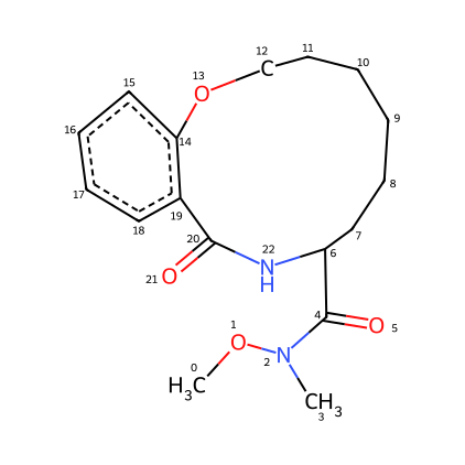 CON(C)C(=O)C1CCCCCCOc2ccccc2C(=O)N1